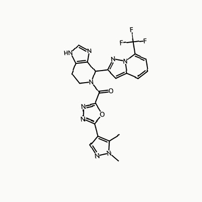 Cc1c(-c2nnc(C(=O)N3CCc4[nH]cnc4C3c3cc4cccc(C(F)(F)F)n4n3)o2)cnn1C